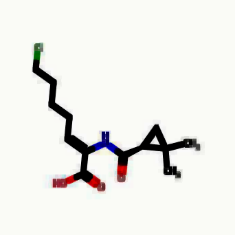 CC1(C)C[C@@H]1C(=O)N/C(=C\CCCCCl)C(=O)O